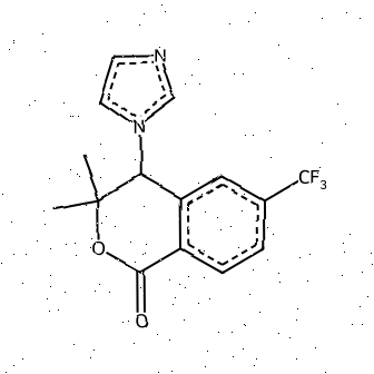 CC1(C)OC(=O)c2ccc(C(F)(F)F)cc2C1n1ccnc1